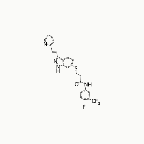 O=C(CCSc1ccc2c(/C=C/c3ccccn3)n[nH]c2c1)Nc1ccc(F)c(C(F)(F)F)c1